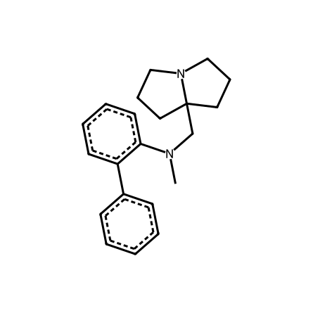 CN(CC12CCCN1CCC2)c1ccccc1-c1ccccc1